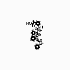 CC(C(=O)O)c1cccc(NC(=O)NCC(=O)[N+](C)(c2ccccc2OCC(=O)N(C)c2ccccc2)C2CCCC2)c1